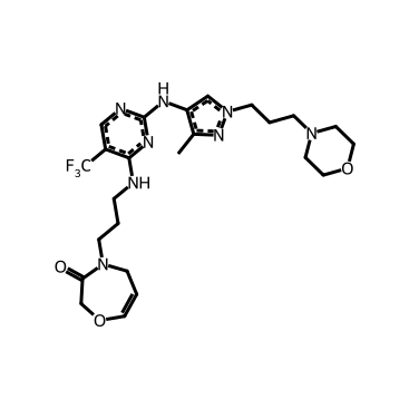 Cc1nn(CCCN2CCOCC2)cc1Nc1ncc(C(F)(F)F)c(NCCCN2CC=COCC2=O)n1